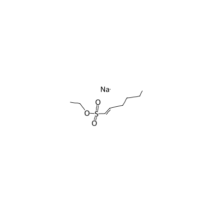 CCCCC=CS(=O)(=O)OCC.[Na]